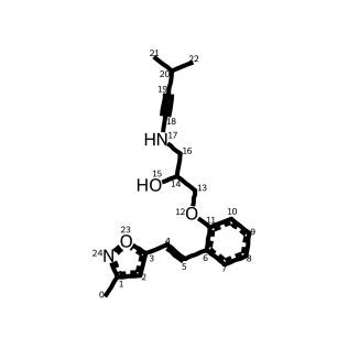 Cc1cc(C=Cc2ccccc2OCC(O)CNC#CC(C)C)on1